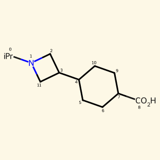 CC(C)N1CC(C2CCC(C(=O)O)CC2)C1